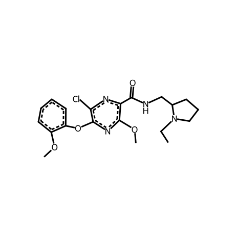 CCN1CCCC1CNC(=O)c1nc(Cl)c(Oc2ccccc2OC)nc1OC